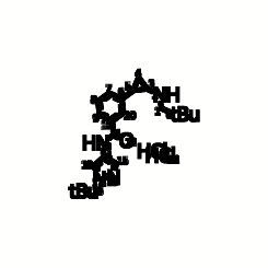 CC(C)(C)CNC1CC1c1cccc(C(=O)Nc2cnn(C(C)(C)C)c2)c1.Cl.Cl